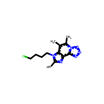 CCCc1nc2c(c(C)c(C)n3nnnc23)n1CCCCCl